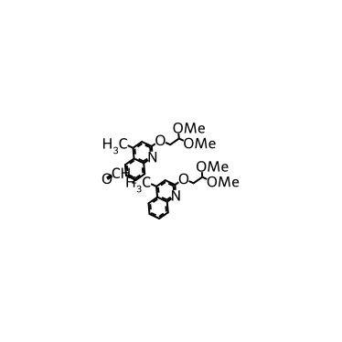 C=O.COC(COc1cc(C)c2ccccc2n1)OC.COC(COc1cc(C)c2ccccc2n1)OC